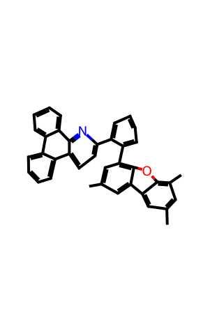 Cc1cc(C)c2oc3c(-c4ccccc4-c4ccc5c6ccccc6c6ccccc6c5n4)cc(C)cc3c2c1